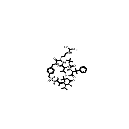 C/C(=C\[C@H](C(C)C)N(C)C(=O)[C@@H](NC(=O)[C@@H](N(C)C(=O)OC(C)(C)C)C(C)(C)c1ccccc1)C(C)(C)C)C(=O)NS(=O)(=O)Cc1ccc(CNC(=O)[C@H](CCCNC(N)O)NC(=O)[C@@H](N)C(C)C)cc1